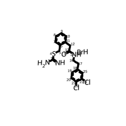 Br.N=C(N)SCc1ccccc1CC(=O)NCCc1ccc(Cl)c(Cl)c1